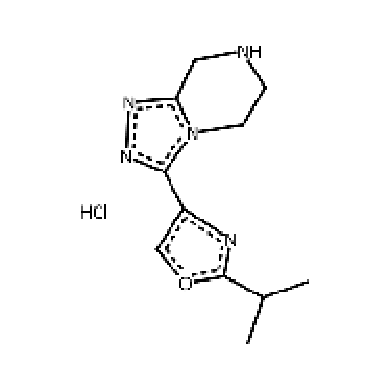 CC(C)c1nc(-c2nnc3n2CCNC3)co1.Cl